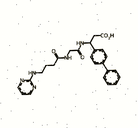 O=C(O)CC(NC(=O)CNC(=O)CCCNc1ncccn1)c1ccc(-c2ccccc2)cc1